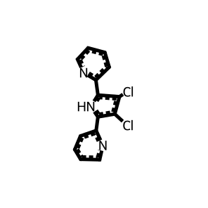 Clc1c(-c2ccccn2)[nH]c(-c2ccccn2)c1Cl